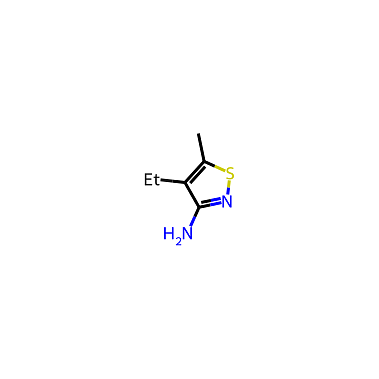 CCc1c(N)nsc1C